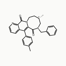 Cc1ccc(-c2c3n(c(=O)c4ncccc24)CC[C@H](C)CN(Cc2ccccc2)C3=O)cc1